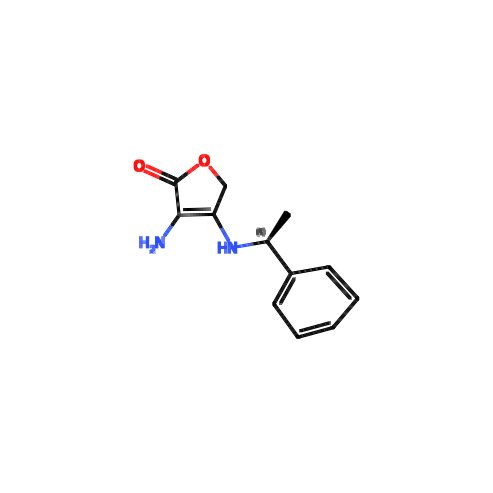 C[C@H](NC1=C(N)C(=O)OC1)c1ccccc1